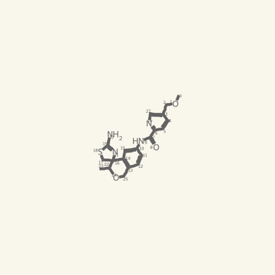 COCc1ccc(C(=O)Nc2ccc3c(c2)C2(CSC(N)=N2)C(C)OC3)nc1